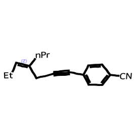 CC/C=C(\CC#Cc1ccc(C#N)cc1)CCC